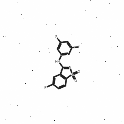 O=S1(=O)N=C(Nc2cc(F)cc(F)c2)c2cc(Br)ccc21